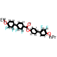 CCCOc1ccc(C2=CCC(OC(=O)c3ccc(-c4ccc(OCC)c(F)c4F)c(F)c3F)CC2)c(F)c1F